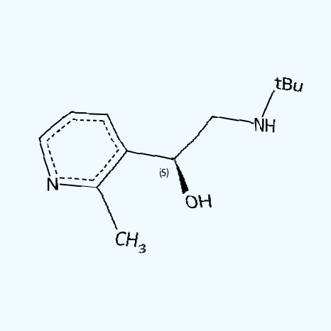 Cc1ncccc1[C@H](O)CNC(C)(C)C